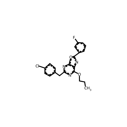 CCCOc1nc(Cc2ccc(Cl)cc2)nc2oc(-c3cccc(F)c3)nc12